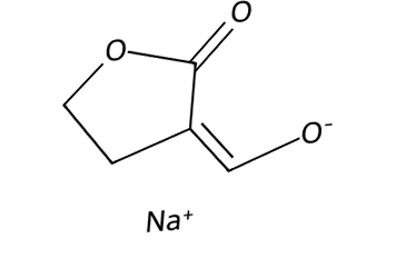 O=C1OCC/C1=C/[O-].[Na+]